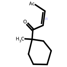 CC(=O)/C=C\C(=O)C1(C)CCCCC1